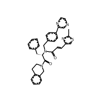 Cc1nc(C=CC(=O)N(Cc2ccc(-c3cnccn3)cc2)[C@@H](Cc2ccccc2)C(=O)N2CCc3ccccc3C2)cs1